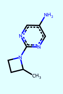 CC1CCN1c1ncc(N)cn1